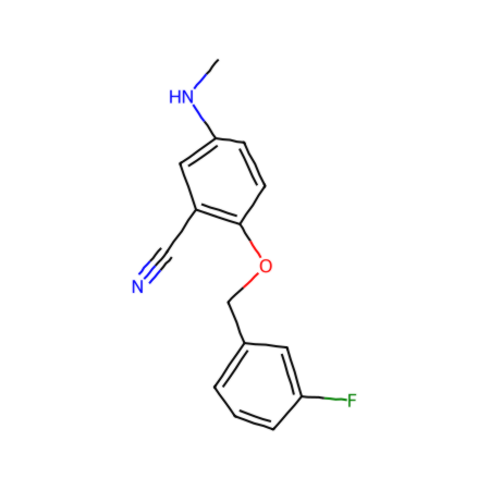 CNc1ccc(OCc2cccc(F)c2)c(C#N)c1